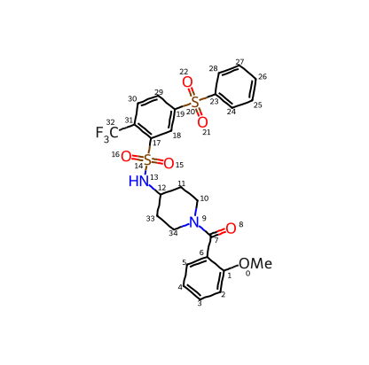 COc1ccccc1C(=O)N1CCC(NS(=O)(=O)c2cc(S(=O)(=O)c3ccccc3)ccc2C(F)(F)F)CC1